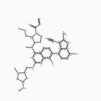 C=CC(=O)N1CCC(N(C)c2nc(OCC3CC(OC)CN3C)nc3c(F)c(-c4ccc(F)c5sc(N)c(C#N)c45)ccc23)C1COC